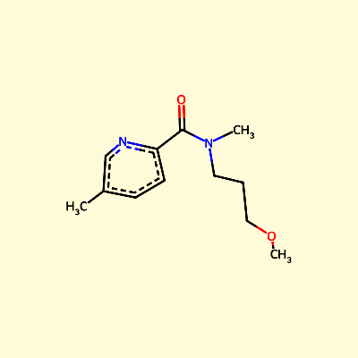 COCCCN(C)C(=O)c1ccc(C)cn1